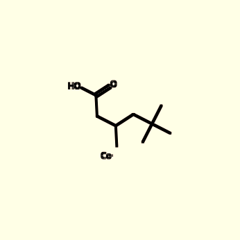 CC(CC(=O)O)CC(C)(C)C.[Co]